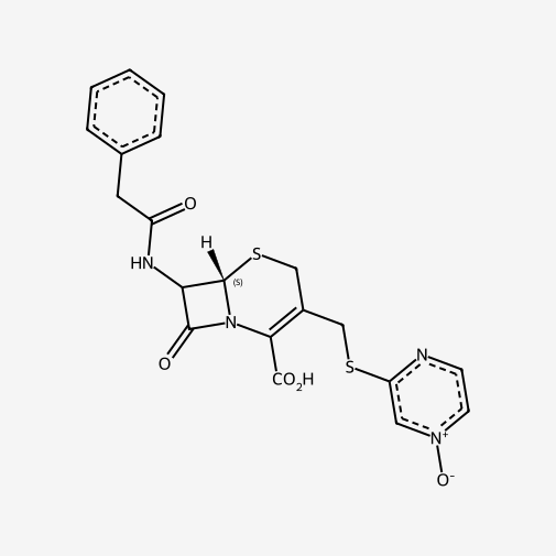 O=C(Cc1ccccc1)NC1C(=O)N2C(C(=O)O)=C(CSc3c[n+]([O-])ccn3)CS[C@@H]12